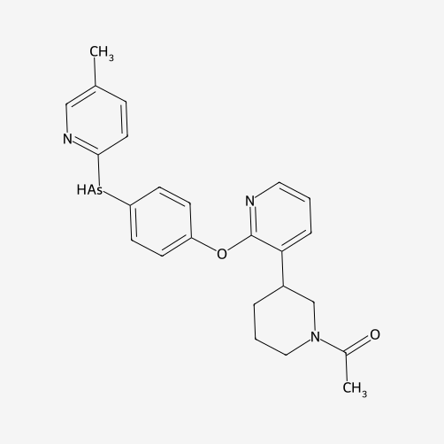 CC(=O)N1CCCC(c2cccnc2Oc2ccc([AsH]c3ccc(C)cn3)cc2)C1